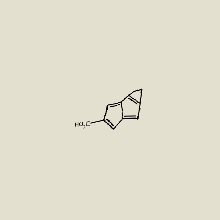 O=C(O)C1=CC2=CC3=C(C3)C2=C1